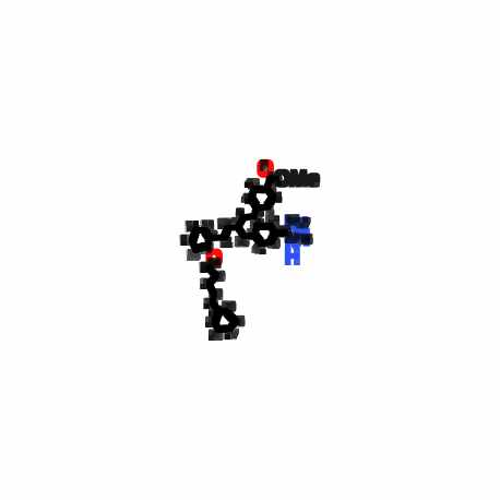 COC(=O)c1ccc(CCC(C=Cc2ccccc2OCCCCCc2ccccc2)Cc2ccc(-c3nnn[nH]3)cc2)cc1